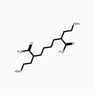 CCCCCCCCCCCCC(CCCCC(CCCCCCCCCCCC)C(N)=O)C(N)=O